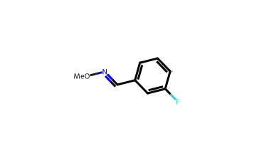 CO/N=C/c1cc[c]c(F)c1